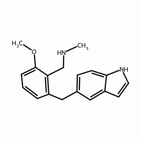 CNCc1c(Cc2ccc3[nH]ccc3c2)cccc1OC